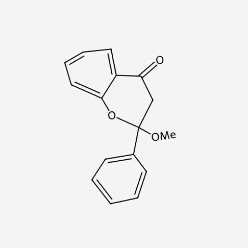 COC1(c2ccccc2)CC(=O)c2ccccc2O1